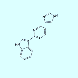 c1c[nH]cn1.c1ccc(-c2c[nH]c3ccccc23)nc1